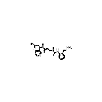 NN=Cc1ccccc1NC(=S)NCCC(=O)NC(CC(=O)O)c1cccnc1